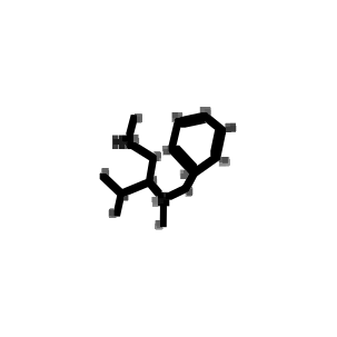 CNCC(C(C)C)N(C)Cc1ccccc1